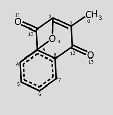 CC1=C2Oc3cccc(c3C2=O)C1=O